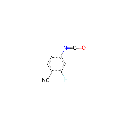 N#Cc1ccc(N=C=O)cc1F